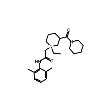 CC[N+]1(CC(=O)Nc2c(C)cccc2C)CCCC(C(=O)N2CCCCC2)C1